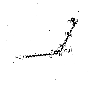 O=C(O)CCCCCCCCCCCCCCCCCCC(=O)NCC1CCC(C(=O)NC(CCC(=O)NCCOCCOCC(=O)NCCOCCOCC(=O)Oc2c(Cl)cccc2Cl)C(=O)O)CC1